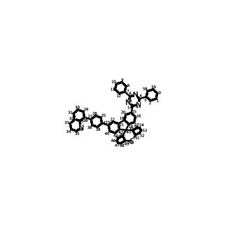 c1ccc(-c2nc(-c3ccccc3)nc(-c3ccc4c(c3)-c3cc(-c5ccc(-c6cccc7cccnc67)cc5)ccc3C43c4ccccc4Sc4ccccc43)n2)cc1